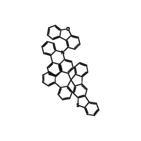 c1ccc(-c2ccccc2N(c2ccc3c(c2)-c2ccccc2-c2ccccc2C32c3ccccc3-c3cc4c(cc32)sc2ccccc24)c2cccc3oc4ccccc4c23)cc1